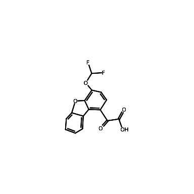 O=C(O)C(=O)c1ccc(OC(F)F)c2oc3ccccc3c12